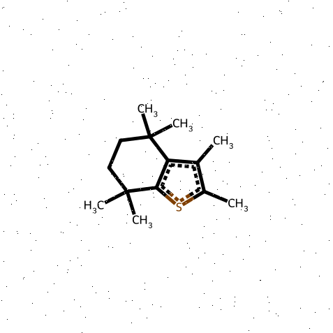 Cc1sc2c(c1C)C(C)(C)CCC2(C)C